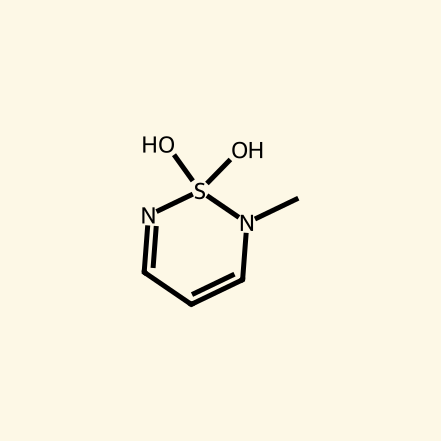 CN1C=CC=NS1(O)O